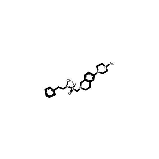 CC(=O)N1CCN(c2ccc3c(c2)CCN(CS(=O)(=O)N(C)CCc2ccccc2)C3)CC1